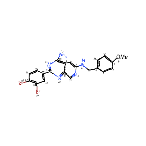 COc1ccc(CNc2cc3c(N)nc(-c4ccc(Br)c(Br)c4)nc3cn2)cc1